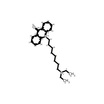 CCN(CC)CCCCCCCCn1c2ccccc2c(=O)c2ccccc21